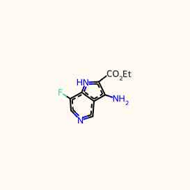 CCOC(=O)c1[nH]c2c(F)cncc2c1N